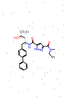 CCOC(=O)[C@@H](O)C[C@@H](Cc1ccc(-c2ccccc2)cc1)NC(=O)c1cc(C(=O)N(C)CC(C)C)n[nH]1